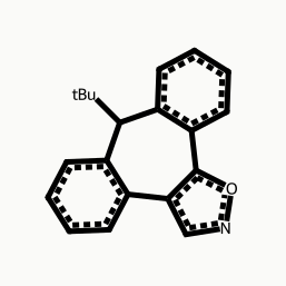 CC(C)(C)C1c2ccccc2-c2cnoc2-c2ccccc21